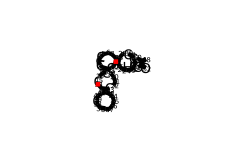 C1=CCCCCCCCCCC1.C1=CCCCCCCCCCC1.C1=CCCCCCCCCCC1.C1=CCCCCCCCCCC1.C=C(C)C(=O)O